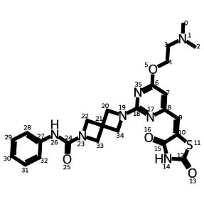 CN(C)CCOc1cc(C=C2SC(=O)NC2=O)nc(N2CC3(CN(C(=O)Nc4ccccc4)C3)C2)n1